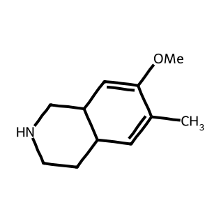 COC1=CC2CNCCC2C=C1C